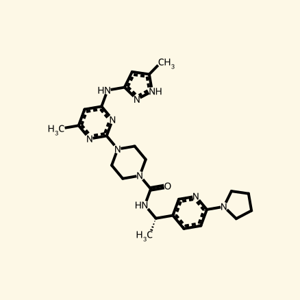 Cc1cc(Nc2cc(C)[nH]n2)nc(N2CCN(C(=O)N[C@@H](C)c3ccc(N4CCCC4)nc3)CC2)n1